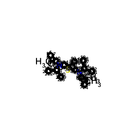 CC1(C)c2ccccc2-c2ccc(N(c3cc(-c4ccccc4)cc(-c4ccccc4)c3)c3ccc4c(c3)sc3c5ccc(N(c6cc(-c7ccccc7)cc(-c7ccccc7)c6)c6ccc7c(c6)C(C)(C)c6ccccc6-7)cc5c5ccccc5c43)cc21